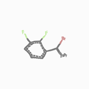 CCCC(Br)c1cccc(F)c1F